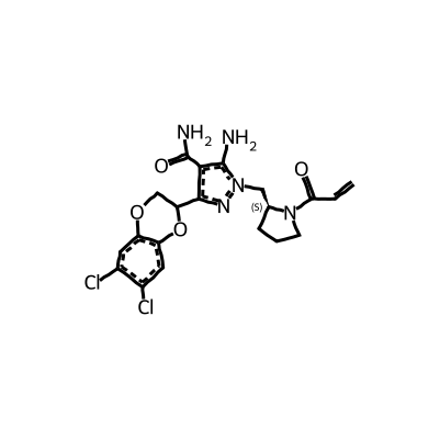 C=CC(=O)N1CCC[C@H]1Cn1nc(C2COc3cc(Cl)c(Cl)cc3O2)c(C(N)=O)c1N